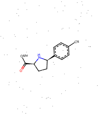 COC(=O)[C@@H]1CC[C@H](c2ccc(C#N)cc2)N1